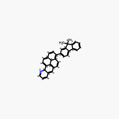 CC1(C)c2ccccc2-c2ccc(C3=C4C=CC5=C6C(=CC=C(C=C3)C46)C3N=CC=CC3=C5)cc21